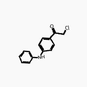 O=C(CCl)c1ccc(Nc2ccccc2)cc1